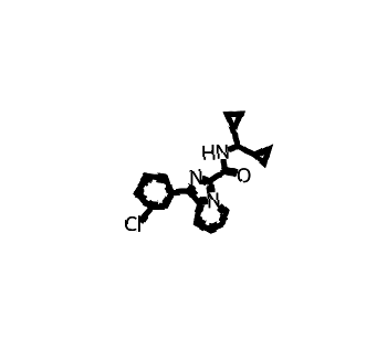 O=C(NC(C1CC1)C1CC1)c1nc(-c2cccc(Cl)c2)c2ccccn12